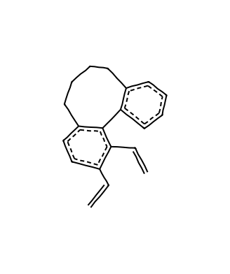 C=Cc1ccc2c(c1C=C)-c1ccccc1CCCC2